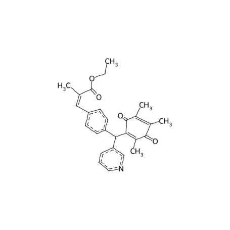 CCOC(=O)C(C)=Cc1ccc(C(C2=C(C)C(=O)C(C)=C(C)C2=O)c2cccnc2)cc1